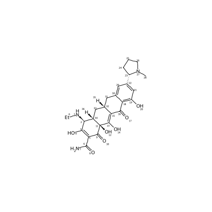 CCN[C@@H]1C(O)=C(C(N)=O)C(=O)[C@@]2(O)C(O)=C3C(=O)c4c(O)cc([C@@H]5CCCN5C)cc4C[C@H]3C[C@@H]12